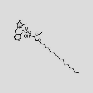 CCCCCCCCCCCCCCCCOCC(COP(=O)(O)Oc1ccccc1C[n+]1csc(C)c1)OCC